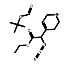 CC(C)(C)OC=O.CCOC(=O)C(N=[N+]=[N-])C1=CCNCC1